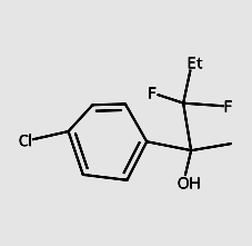 CCC(F)(F)C(C)(O)c1ccc(Cl)cc1